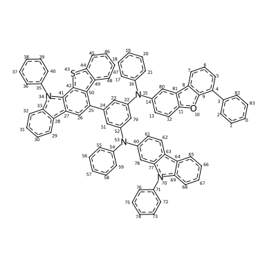 c1ccc(-c2cccc3c2oc2ccc(N(c4ccccc4)c4cc(-c5cc6c7ccccc7n(-c7ccccc7)c6c6sc7ccccc7c56)cc(N(c5ccccc5)c5ccc6c7ccccc7n(-c7ccccc7)c6c5)c4)cc23)cc1